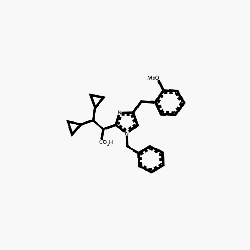 COc1ccccc1Cc1cn(Cc2ccccc2)c(C(C(=O)O)C(C2CC2)C2CC2)n1